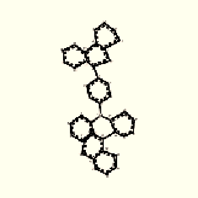 c1ccc(N(c2ccc(-c3cc4ccccc4c4ccccc34)cc2)c2ccccc2-c2cccc3ccccc23)cc1